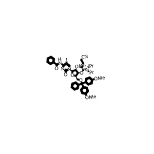 COc1ccc(C(OC[C@H]2O[C@@H](n3cc(I)c(NC(=O)c4ccccc4)nc3=O)[C@H](OC)[C@H]2OP(OCCC#N)N(C(C)C)C(C)C)(c2ccccc2)c2ccc(OC)cc2)cc1